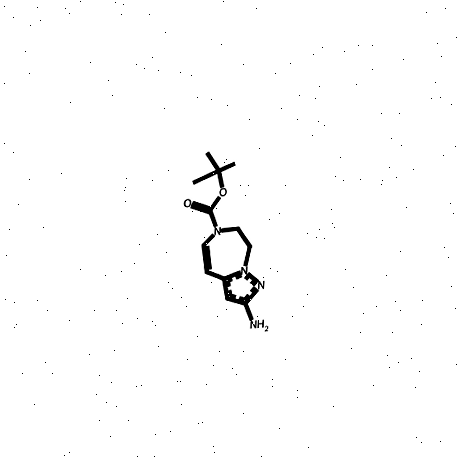 CC(C)(C)OC(=O)N1C=Cc2cc(N)nn2CC1